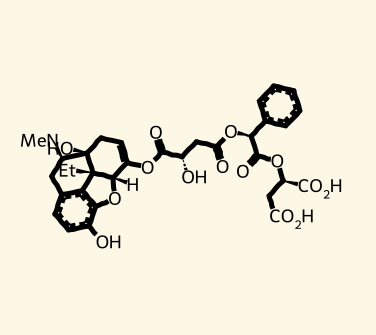 CC[C@]12c3c4ccc(O)c3O[C@H]1C(OC(=O)[C@@H](O)CC(=O)O[C@H](C(=O)O[C@H](CC(=O)O)C(=O)O)c1ccccc1)=CC[C@@]2(O)[C@H](NC)C4